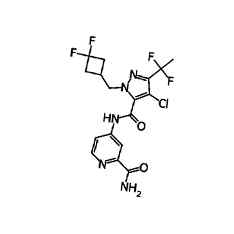 CC(F)(F)c1nn(CC2CC(F)(F)C2)c(C(=O)Nc2ccnc(C(N)=O)c2)c1Cl